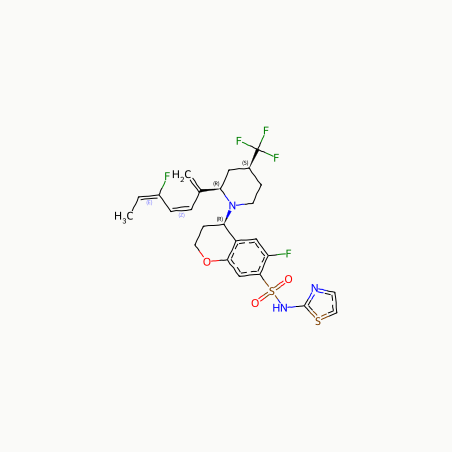 C=C(/C=C\C(F)=C/C)[C@H]1C[C@@H](C(F)(F)F)CCN1[C@@H]1CCOc2cc(S(=O)(=O)Nc3nccs3)c(F)cc21